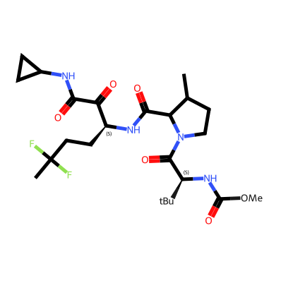 COC(=O)N[C@H](C(=O)N1CCC(C)C1C(=O)N[C@@H](CCC(C)(F)F)C(=O)C(=O)NC1CC1)C(C)(C)C